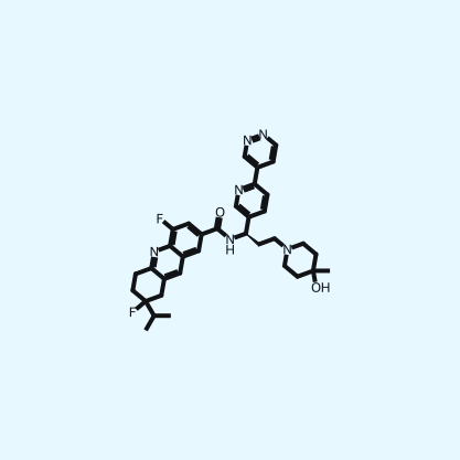 CC(C)C1(F)CCc2nc3c(F)cc(C(=O)N[C@H](CCN4CCC(C)(O)CC4)c4ccc(-c5ccnnc5)nc4)cc3cc2C1